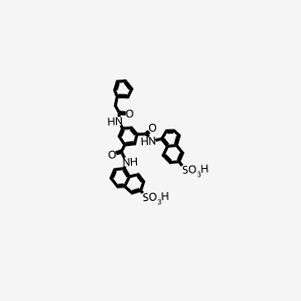 O=C(Cc1ccccc1)Nc1cc(C(=O)Nc2cccc3cc(S(=O)(=O)O)ccc23)cc(C(=O)Nc2cccc3cc(S(=O)(=O)O)ccc23)c1